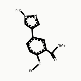 CCCn1cc(-c2ccc(OCC)c(C(=O)NC)c2)cn1